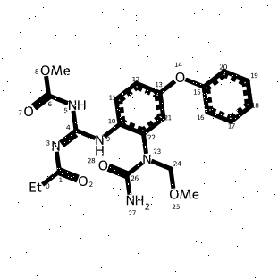 CCC(=O)N=C(NC(=O)OC)Nc1ccc(Oc2ccccc2)cc1N(COC)C(N)=O